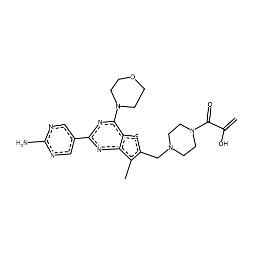 C=C(O)C(=O)N1CCN(Cc2sc3c(N4CCOCC4)nc(-c4cnc(N)nc4)nc3c2C)CC1